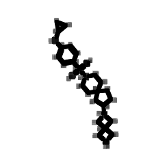 O=S(=O)(c1ccc(OC2CC2)cc1)N1CCC2(CCC(N3CC4(COC4)C3)C2)CC1